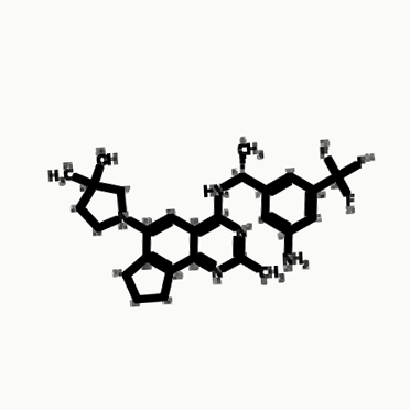 Cc1nc(N[C@H](C)c2cc(N)cc(C(F)(F)F)c2)c2cc(N3CCC(C)(O)C3)c3c(c2n1)CCC3